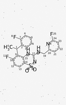 CC(c1ccccc1F)c1c(F)ccc2c1NC(NCc1cccc(F)n1)=NS2(=O)=O